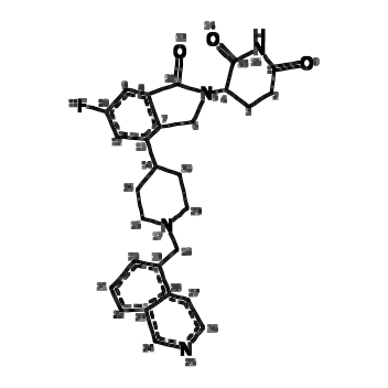 O=C1CCC(N2Cc3c(cc(F)cc3C3CCN(Cc4cccc5cnccc45)CC3)C2=O)C(=O)N1